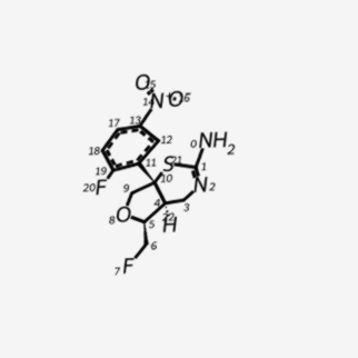 NC1=NC[C@H]2[C@@H](CF)OC[C@]2(c2cc([N+](=O)[O-])ccc2F)S1